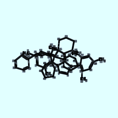 Cc1cc(C)c(N2C=CN(c3c(C)cc(C)cc3C)C2=C2C(Cl)CCCC2(Cl)P(=CC=Cc2ccccc2)(C2CCCCC2)C2CCCCC2)c(C)c1